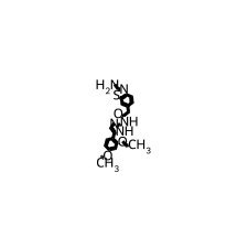 CCOc1ccc(-c2cnc(NC(=O)Cc3ccc4nc(N)sc4c3)[nH]2)c(OCC)c1